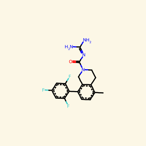 Cc1ccc(-c2c(F)cc(F)cc2F)c2c1CCN(C(=O)N=C(N)N)C2